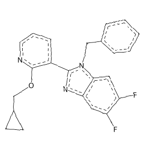 Fc1cc2nc(-c3cccnc3OCC3CC3)n(Cc3ccccc3)c2cc1F